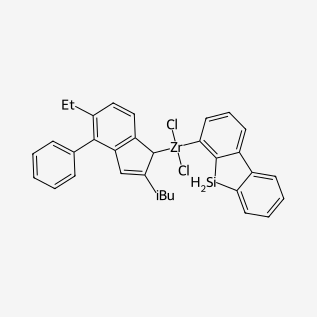 CCc1ccc2c(c1-c1ccccc1)C=C(C(C)CC)[CH]2[Zr]([Cl])([Cl])[c]1cccc2c1[SiH2]c1ccccc1-2